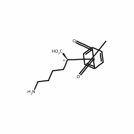 NCCCC[C@@H](C(=O)O)n1c(=O)c2ccc(cc2)c1=O